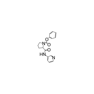 O=C(Nc1cccnc1)C1CCCN1C(=O)Oc1ccccc1